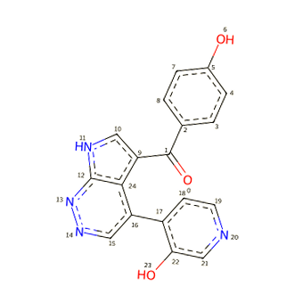 O=C(c1ccc(O)cc1)c1c[nH]c2nncc(-c3ccncc3O)c12